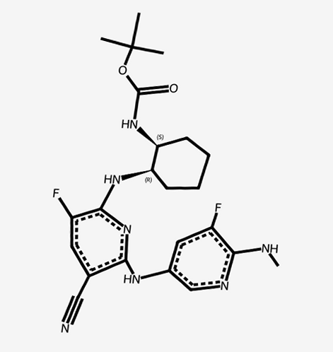 CNc1ncc(Nc2nc(N[C@@H]3CCCC[C@@H]3NC(=O)OC(C)(C)C)c(F)cc2C#N)cc1F